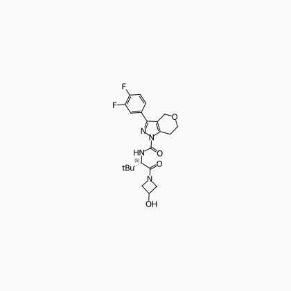 CC(C)(C)[C@H](NC(=O)n1nc(-c2ccc(F)c(F)c2)c2c1CCOC2)C(=O)N1CC(O)C1